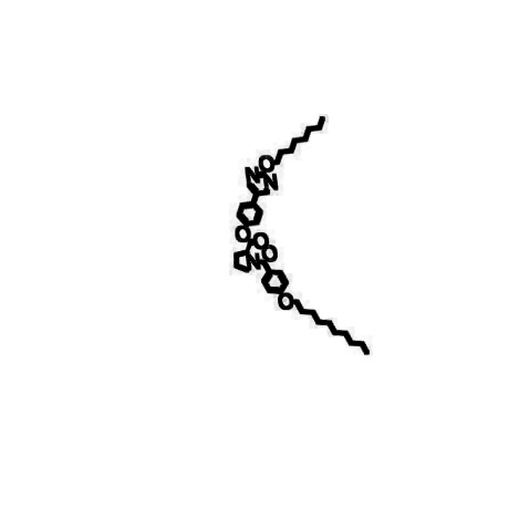 CCCCCCCCCCOc1ccc(C(=O)N2CCC[C@H]2C(=O)Oc2ccc(-c3cnc(OCCCCCCCC)nc3)cc2)cc1